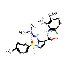 COc1ccc(Cl)c(NC(=O)c2ccn(S(=O)(=O)c3ccc(C)cc3)c2/N=C/N(C)C)c1C